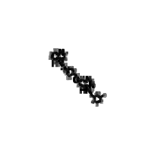 Cc1cccc(CCNc2ncnc3cc(OCC4CCN(CCNc5ccnc6ccccc56)CC4)ccc23)c1